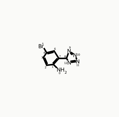 Nc1ccc(Br)cc1C1N=NN=N1